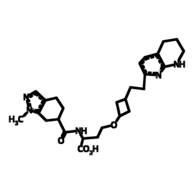 Cn1ncc2c1CC(C(=O)NC(CCOC1CC(CCc3ccc4c(n3)NCCC4)C1)C(=O)O)CC2